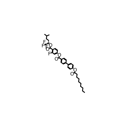 CCCCCCCCCC(=O)Oc1ccc(-c2ccc(C(=O)Oc3ccc(C(=O)O[C@H](CCC(C)C)C(F)(F)F)c(F)c3)cc2)cc1